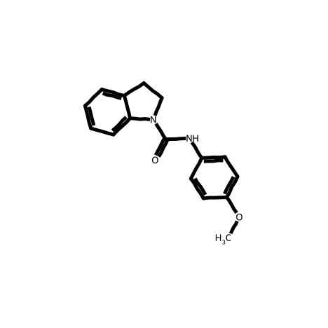 COc1ccc(NC(=O)N2CCc3ccccc32)cc1